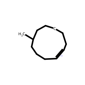 CC1CCC/C=C\CCCCC1